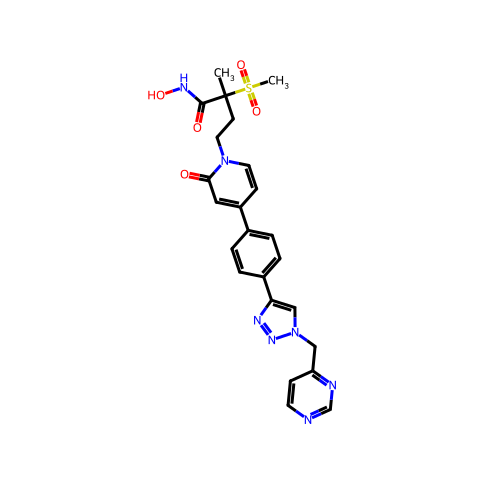 CC(CCn1ccc(-c2ccc(-c3cn(Cc4ccncn4)nn3)cc2)cc1=O)(C(=O)NO)S(C)(=O)=O